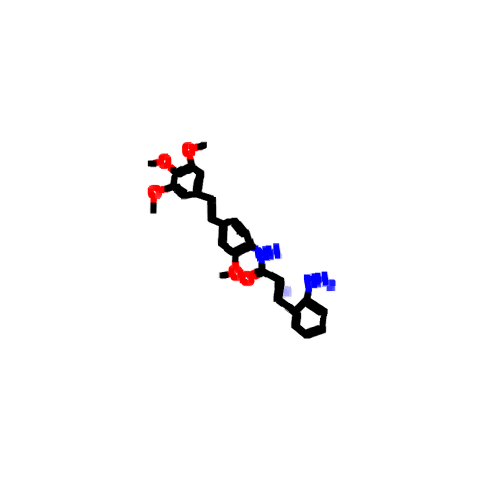 COc1cc(C=Cc2cc(OC)c(OC)c(OC)c2)ccc1NC(=O)/C=C/c1ccccc1N